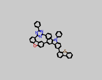 c1ccc(-c2nc(-c3ccccc3)nc(-c3cccc4oc5ccc(-c6ccc7c(c6)c6cc(-c8cccc9c8sc8ccccc89)ccc6n7-c6ccccc6)cc5c34)n2)cc1